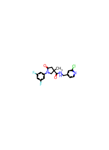 CC1(C(=O)NCc2ccnc(Cl)c2)CC(=O)N(c2cc(F)cc(F)c2)C1